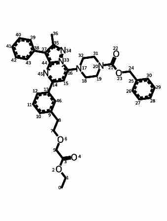 CCOC(=O)COCCc1cccc(-c2cc(N3CCN(C(=O)OCc4ccccc4)CC3)n3nc(C)c(-c4ccccc4)c3n2)c1